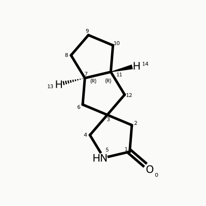 O=C1CC2(CN1)C[C@H]1CCC[C@@H]1C2